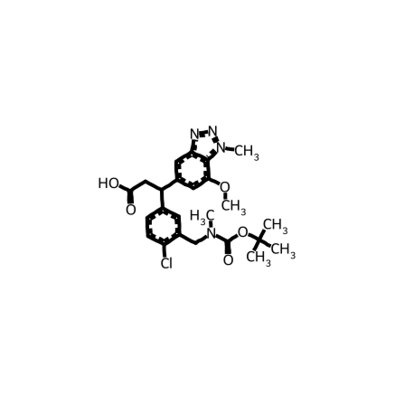 COc1cc(C(CC(=O)O)c2ccc(Cl)c(CN(C)C(=O)OC(C)(C)C)c2)cc2nnn(C)c12